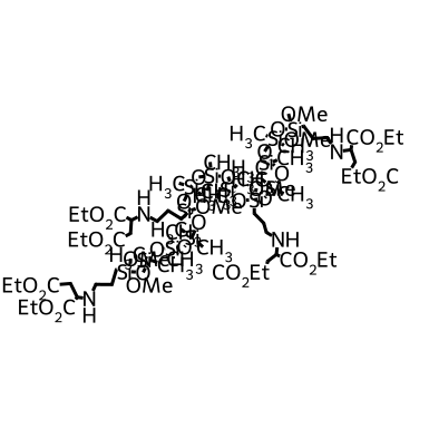 CCOC(=O)CC(NCCC[Si](OC)(OC)O[Si](C)(C)O[Si](C)(C)O[Si](C)(C)O[Si](CCCNC(CC(=O)OCC)C(=O)OCC)(OC)O[Si](C)(C)O[Si](C)(C)O[Si](C)(C)O[Si](CCCNC(CC(=O)OCC)C(=O)OCC)(OC)O[Si](C)(C)O[Si](C)(C)O[Si](C)(C)O[Si](CCCNC(CC(=O)OCC)C(=O)OCC)(OC)OC)C(=O)OCC